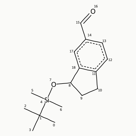 CC(C)(C)[Si](C)(C)OC1CCc2ccc(C=O)cc21